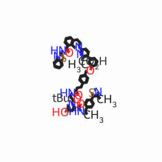 Cc1ncsc1-c1ccc(C(C)NC(=O)[C@@H]2C[C@@H](O)CN2C(=O)C(NC(=O)CCc2ccc(COc3cccc(-c4ccc(N5CCc6cccc(C(=O)Nc7nc8ccccc8s7)c6C5)nc4C(=O)O)c3C)cc2)C(C)(C)C)cc1